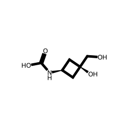 O=C(O)N[C@H]1C[C@](O)(CO)C1